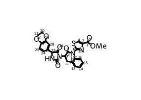 COC(=O)c1csc(NC(=O)C(Cc2ccccc2)N2C(=O)NC(c3ccc4c(c3)OCCO4)C2=O)n1